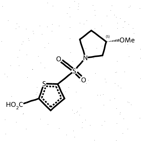 CO[C@H]1CCN(S(=O)(=O)c2ccc(C(=O)O)s2)C1